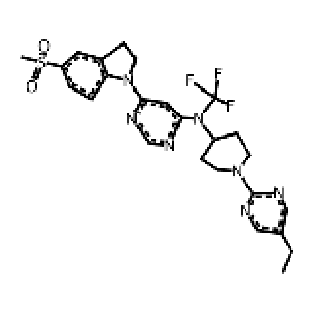 CCc1cnc(N2CCC(N(c3cc(N4CCc5cc(S(C)(=O)=O)ccc54)ncn3)C(F)(F)F)CC2)nc1